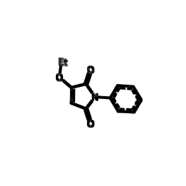 CCOC1=CC(=O)N(c2ccccc2)C1=O